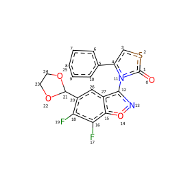 O=c1scc(-c2ccccc2)n1-c1noc2c(F)c(F)c(C3OCCO3)cc12